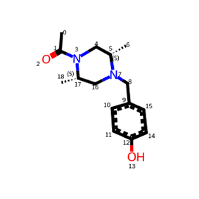 CC(=O)N1C[C@H](C)N(Cc2ccc(O)cc2)C[C@@H]1C